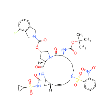 CC(C)(C)OC(=O)N[C@H]1CCCN(S(=O)(=O)c2ccccc2[N+](=O)[O-])C/C=C\[C@@H]2C[C@@]2(C(=O)NS(=O)(=O)C2CC2)NC(=O)[C@@H]2CC(OC(=O)N3Cc4cccc(F)c4C3)CN2C1=O